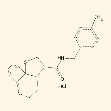 Cc1ccc(CNC(=O)C2CSC34C=CC=CC3=NCCC24)cc1.Cl